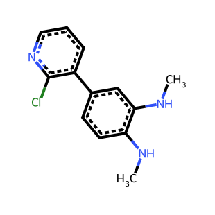 CNc1ccc(-c2cccnc2Cl)cc1NC